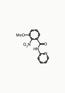 COc1cccc(C(=O)Nc2ccccn2)c1[N+](=O)[O-]